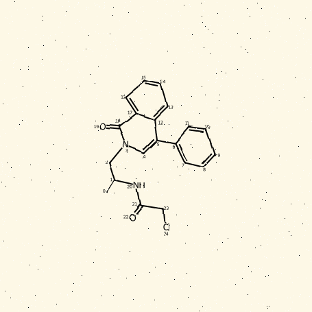 CC(Cn1cc(-c2ccccc2)c2ccccc2c1=O)NC(=O)CCl